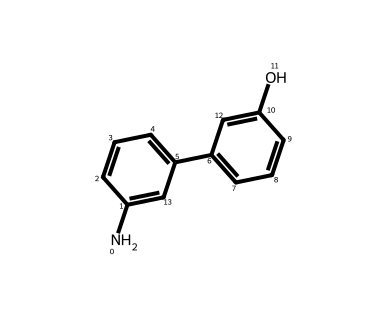 Nc1cccc(-c2cccc(O)c2)c1